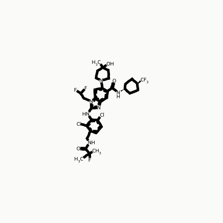 CC1(O)CCN(c2cc3c(cc2C(=O)N[C@H]2CC[C@H](C(F)(F)F)CC2)nc(Nc2c(Cl)ccc(CNC(=O)C(C)(C)F)c2Cl)n3CC(F)F)CC1